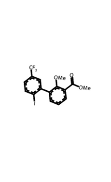 COC(=O)c1cccc(-c2cc(C(F)(F)F)ccc2I)c1OC